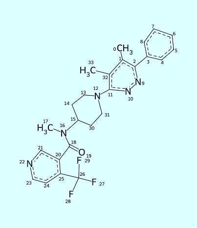 Cc1c(-c2ccccc2)nnc(N2CCC(N(C)C(=O)c3cnccc3C(F)(F)F)CC2)c1C